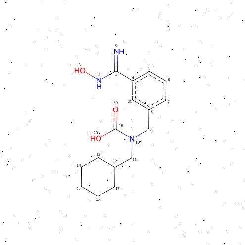 N=C(NO)c1cccc(CN(CC2CCCCC2)C(=O)O)c1